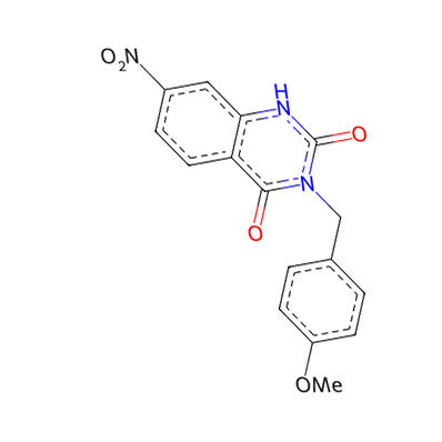 COc1ccc(Cn2c(=O)[nH]c3cc([N+](=O)[O-])ccc3c2=O)cc1